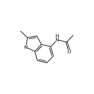 CC(=O)Nc1cccc2c1C=C(C)[N]2